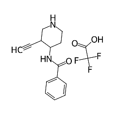 C#CC1CNCCC1NC(=O)c1ccccc1.O=C(O)C(F)(F)F